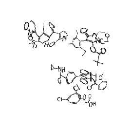 CCc1cc(C)cc(CC)c1-c1c(OC(=O)C(C)(C)C)n2n(c1=O)CCOCC2.COc1ccccc1C(=O)NS(=O)(=O)c1ccc(C(=O)NC2CC2)cc1.Cc1c(C(=O)c2cnn(C)c2O)ccc(S(C)(=O)=O)c1C1=NOCC1.O=C(O)COc1ccc(Cl)cc1Cl